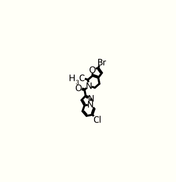 CC1c2oc(Br)cc2CCN1C(=O)c1cc2ccc(Cl)cn2n1